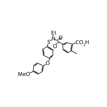 CCN(Sc1ccc(Oc2ccc(OC)cc2)cc1)S(=O)(=O)c1ccc(C)c(C(=O)O)c1